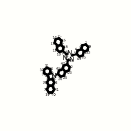 c1ccc2cc(-c3nc(-c4ccc5ccccc5c4)nc(-c4ccc5ccc(-n6c7ccccc7c7cc8ccccc8cc76)cc5c4)n3)ccc2c1